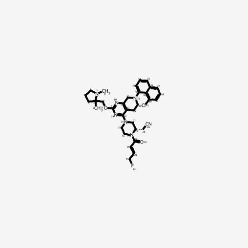 CN1CCCC1(C)COc1nc2c(c(N3CCN(C(=O)/C=C/CF)[C@@H](CC#N)C3)n1)CCN(c1cccc3cccc(Cl)c13)C2